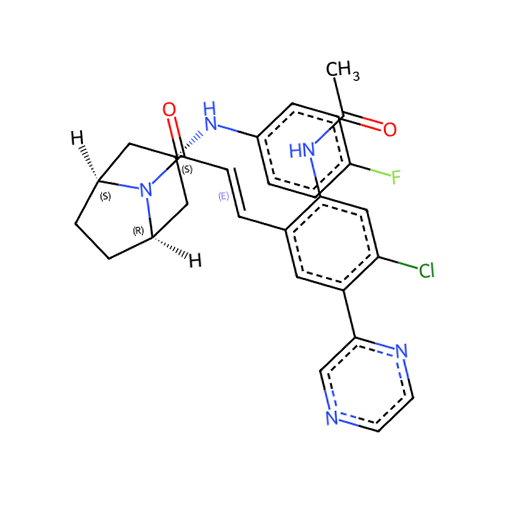 CC(=O)Nc1cc(Cl)c(-c2cnccn2)cc1/C=C/C(=O)N1[C@@H]2CC[C@H]1C[C@H](Nc1ccc(F)cc1)C2